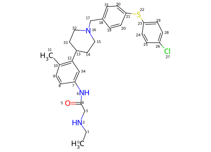 CCNCC(=O)Nc1ccc(C)c(C2CCN(Cc3ccc(Sc4ccc(Cl)cc4)cc3)CC2)c1